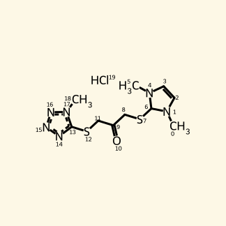 CN1C=CN(C)C1SCC(=O)CSc1nnnn1C.Cl